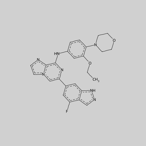 CCOc1cc(Nc2nc(-c3cc(F)c4cn[nH]c4c3)cn3ccnc23)ccc1N1CCOCC1